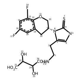 NCCC1=C[N]C(=S)N1[C@H]1COc2c(F)cc(F)cc2C1.O=C(O)C(O)C(O)C(=O)O